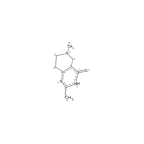 Cc1nc2c(c(=O)[nH]1)CN(C)CC2